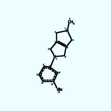 CN1CC2=C(C1)CN(c1cccc(C(C)(C)C)c1)C2